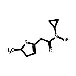 CCCN(C(=O)CC1=CCC(C)S1)C1CC1